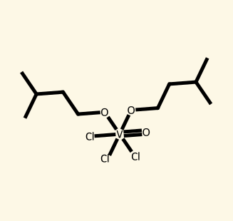 CC(C)CC[O][V](=[O])([Cl])([Cl])([Cl])[O]CCC(C)C